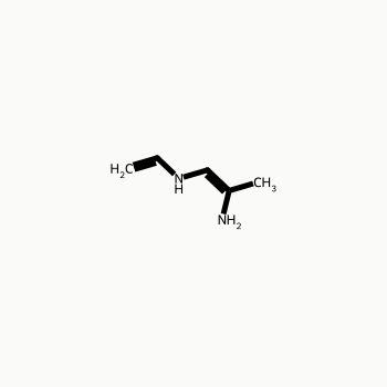 C=CNC=C(C)N